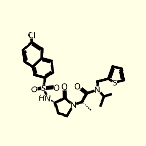 CC(C)N(Cc1cccs1)C(=O)[C@H](C)N1CC[C@H](NS(=O)(=O)c2ccc3cc(Cl)ccc3c2)C1=O